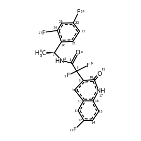 C[C@H](NC(=O)C(F)(F)c1cc2cc(F)ccc2[nH]c1=O)c1ccc(F)cc1F